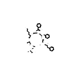 C[C@@H](O)C1NC(=O)C(CCCCN)NC(=O)[C@@H](Cc2c[nH]c3ccccc23)NC(=O)[C@H](Cc2ccccc2)NC(=O)[C@@H](NC(=O)[C@H](N)Cc2ccccc2)CSSC[C@@H](C(=O)N[C@H](CO)[C@@H](C)O)NC1=O